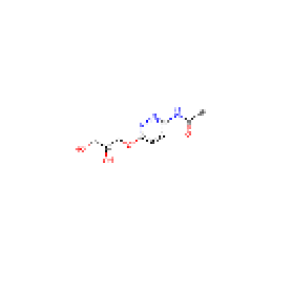 CC(C)C(=O)Nc1ccc(OC[C@@H](O)CO)nn1